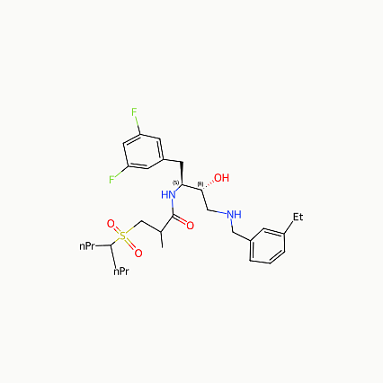 CCCC(CCC)S(=O)(=O)CC(C)C(=O)N[C@@H](Cc1cc(F)cc(F)c1)[C@H](O)CNCc1cccc(CC)c1